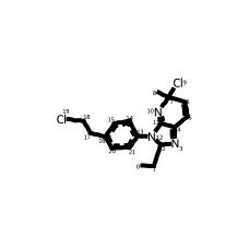 CCC1N=C2C=CC(C)(Cl)N=C2N1c1ccc(CCCl)cc1